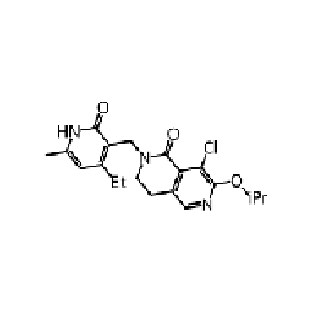 CCc1cc(C)[nH]c(=O)c1CN1CCc2cnc(OC(C)C)c(Cl)c2C1=O